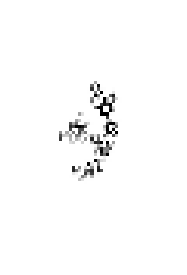 Cc1cc(-c2csc(-n3nnn(CC(CN)=C(F)F)c3=O)c2)cc2c1NC(=O)CC2.O=C(O)C(F)(F)F